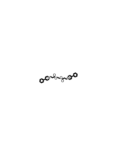 O=C(CC[n+]1ccc(-c2ccccc2)cc1)OCCOC(=O)CC[n+]1ccc(-c2ccccc2)cc1